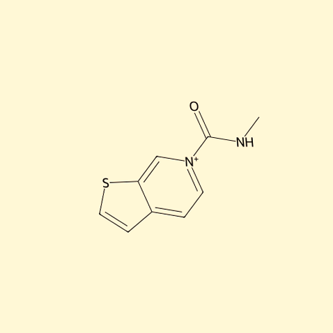 CNC(=O)[n+]1ccc2ccsc2c1